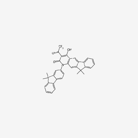 CC1(C)c2ccccc2-c2ccc(-n3c(=O)c(C(=O)C(F)(F)F)c(O)c4cc5c(cc43)C(C)(C)c3ccccc3-5)cc21